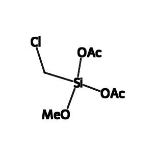 CO[Si](CCl)(OC(C)=O)OC(C)=O